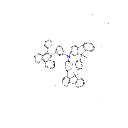 CC1(C)c2ccccc2-c2cccc(-c3ccc(N(c4cccc(-c5c(-c6ccccc6)c6ccccc6c6ccccc56)c4)c4ccc5c(c4)C(C)(c4ccccc4)c4ccccc4-5)cc3)c21